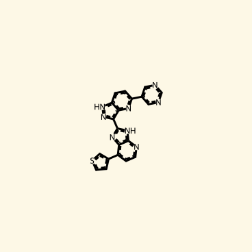 c1ncc(-c2ccc3[nH]nc(-c4nc5c(-c6ccsc6)ccnc5[nH]4)c3n2)cn1